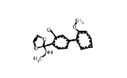 CNC1(c2ccc(-c3ccccc3OC)cc2Cl)OC=CO1